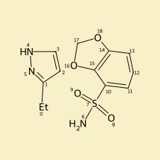 CCc1cc[nH]n1.NS(=O)(=O)c1cccc2c1OCO2